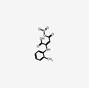 Cc1ccccc1NC(=CC(=O)O[N+](=O)[O-])C(=O)O